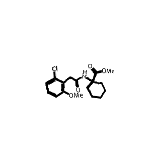 COC(=O)C1(NC(=O)Cc2c(Cl)cccc2OC)CCCCC1